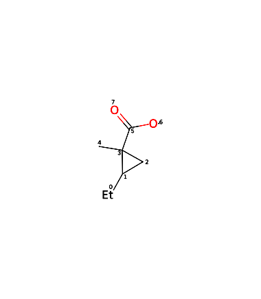 CCC1CC1(C)C([O])=O